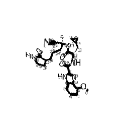 COc1cccc2[nH]c(C(=O)N[C@@H](CC3CC3)C(=O)N[C@](C)(C#N)CCCC3CCNC3=O)nc12